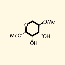 CO[C@@H]1OC[C@@H](OC)[C@H](O)[C@@H]1O